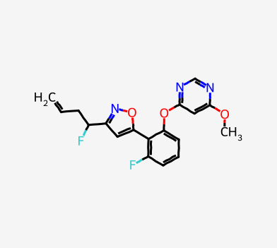 C=CCC(F)c1cc(-c2c(F)cccc2Oc2cc(OC)ncn2)on1